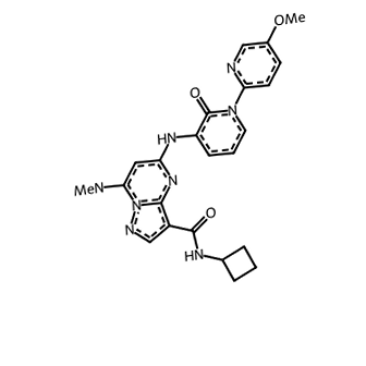 CNc1cc(Nc2cccn(-c3ccc(OC)cn3)c2=O)nc2c(C(=O)NC3CCC3)cnn12